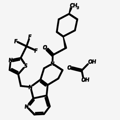 C[C@H]1CC[C@@H](CC(=O)N2CCc3c(n(Cc4cnc(C(F)(F)F)s4)c4ncccc34)C2)CC1.O=C(O)O